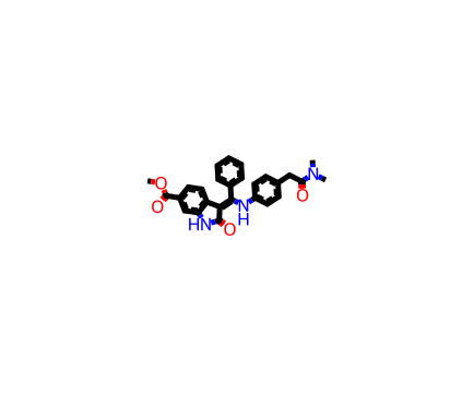 COC(=O)c1ccc2c(c1)NC(=O)/C2=C(\Nc1ccc(CC(=O)N(C)C)cc1)c1ccccc1